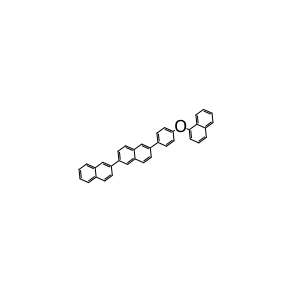 c1ccc2cc(-c3ccc4cc(-c5ccc(Oc6cccc7ccccc67)cc5)ccc4c3)ccc2c1